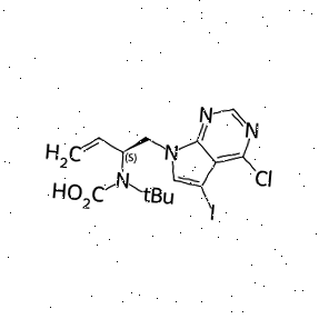 C=C[C@@H](Cn1cc(I)c2c(Cl)ncnc21)N(C(=O)O)C(C)(C)C